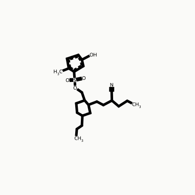 CCCC(C#N)CCC1CC(CCC)CCC1COS(=O)(=O)c1cc(O)ccc1C